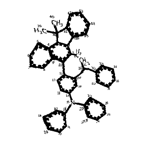 Cc1c2c(c3ccccc3c1-c1ccc(N(c3ccccc3)c3ccccc3)cc1C(C)c1ccccc1)C(C)(C)c1ccccc1-2